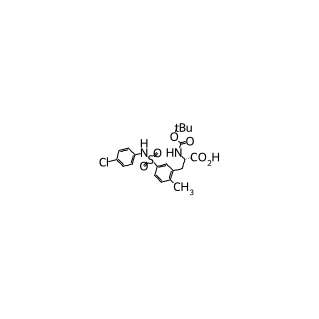 Cc1ccc(S(=O)(=O)Nc2ccc(Cl)cc2)cc1C[C@H](NC(=O)OC(C)(C)C)C(=O)O